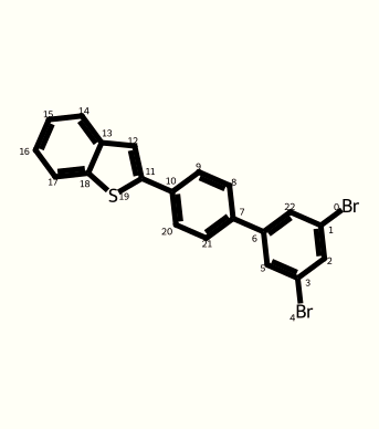 Brc1cc(Br)cc(-c2ccc(-c3cc4ccccc4s3)cc2)c1